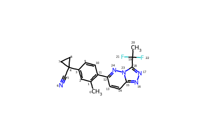 Cc1cc(C2(C#N)CC2)ccc1-c1ccc2nnc(C(C)(F)F)n2n1